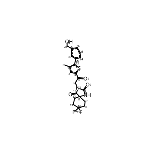 Cc1cc(C(=O)CN2C(=O)NC3(CCC(F)(F)CC3)C2=O)sc1-c1cccc(CO)c1